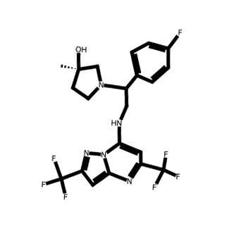 C[C@@]1(O)CCN(C(CNc2cc(C(F)(F)F)nc3cc(C(F)(F)F)nn23)c2ccc(F)cc2)C1